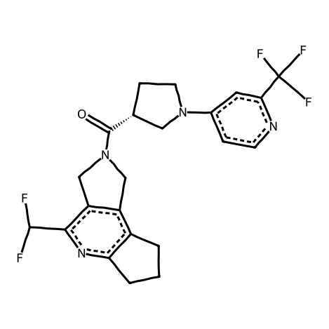 O=C([C@@H]1CCN(c2ccnc(C(F)(F)F)c2)C1)N1Cc2c(C(F)F)nc3c(c2C1)CCC3